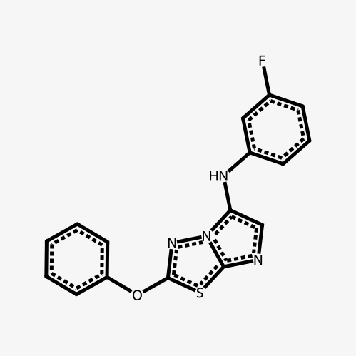 Fc1cccc(Nc2cnc3sc(Oc4ccccc4)nn23)c1